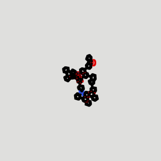 c1ccc(-c2cc(-c3cccc(-c4ccc5c(-c6cccc(-c7ccccc7N(c7ccc(-c8ccc9oc%10ccccc%10c9c8)cc7)c7ccc8c9ccccc9c9ccccc9c8c7)c6)cccc5c4)c3)cc(N(c3ccc(-c4ccc5oc6ccccc6c5c4)cc3)c3ccccc3-c3cccc(-c4cccc5ccccc45)c3)c2)cc1